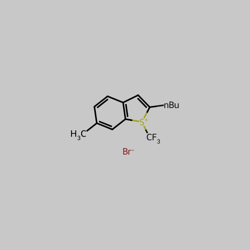 CCCCc1cc2ccc(C)cc2[s+]1C(F)(F)F.[Br-]